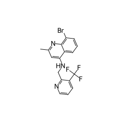 Cc1cc(NCc2ncccc2C(F)(F)F)c2cccc(Br)c2n1